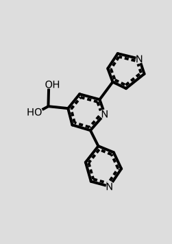 OC(O)c1cc(-c2ccncc2)nc(-c2ccncc2)c1